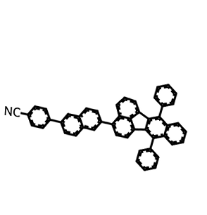 N#Cc1ccc(-c2ccc3cc(-c4ccc5c6c(cccc46)-c4c-5c(-c5ccccc5)c5ccccc5c4-c4ccccc4)ccc3c2)cc1